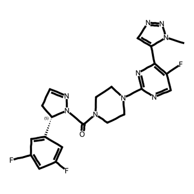 Cn1nncc1-c1nc(N2CCN(C(=O)N3N=CC[C@H]3c3cc(F)cc(F)c3)CC2)ncc1F